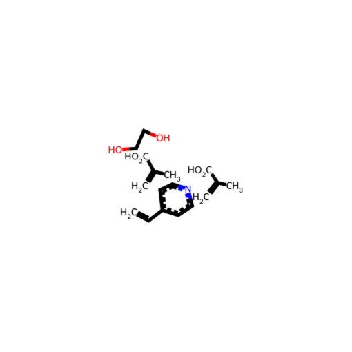 C=C(C)C(=O)O.C=C(C)C(=O)O.C=Cc1ccncc1.OCCO